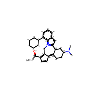 COC(=O)C1=C2Cn3c(cc4cccc(C5CCCCC5)c43)C3CC(N(C)C)CCC3=C2C=C1